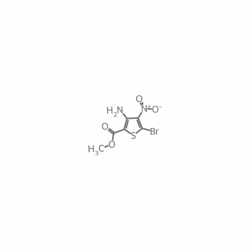 COC(=O)c1sc(Br)c([N+](=O)[O-])c1N